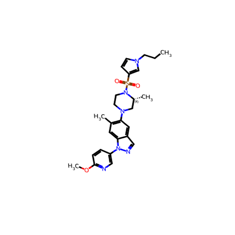 CCCn1ccc(S(=O)(=O)N2CCN(c3cc4cnn(-c5ccc(OC)nc5)c4cc3C)C[C@H]2C)c1